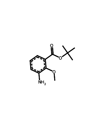 COc1c(N)cccc1C(=O)OC(C)(C)C